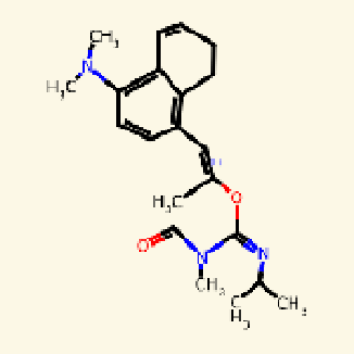 C/C(=C\c1ccc(N(C)C)c2c1CCC=C2)OC(=NC(C)C)N(C)C=O